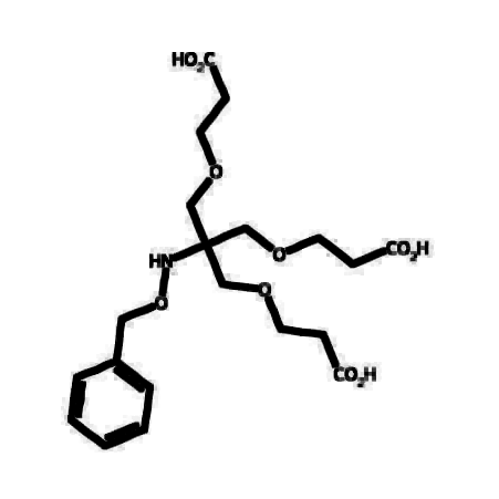 O=C(O)CCOCC(COCCC(=O)O)(COCCC(=O)O)NOCc1ccccc1